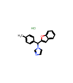 Cc1ccc(C(c2cc3ccccc3o2)n2ccnc2)cc1.Cl